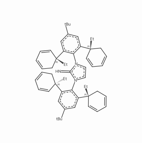 CC[C@]1(c2cc(C(C)(C)C)cc([C@@]3(CC)C=CC=CC3)c2-n2ccn(-c3c([C@@]4(CC)C=CC=CC4)cc(C(C)(C)C)cc3[C@@]3(CC)C=CC=CC3)c2=N)C=CC=CC1